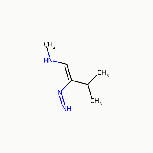 CN/C=C(\N=N)C(C)C